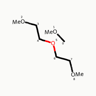 COC.COCCOCCOC